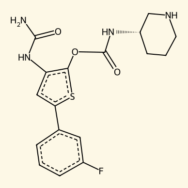 NC(=O)Nc1cc(-c2cccc(F)c2)sc1OC(=O)N[C@H]1CCCNC1